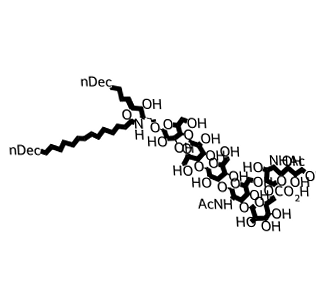 CCCCCCCCCCCCC/C=C/[C@@H](O)[C@H](CO[C@@H]1OC(CO)[C@@H](O[C@@H]2OC(CO)[C@H](O[C@@H]3OC(CO)[C@H](O)[C@H](O[C@@H]4OC(CO)[C@H](O)[C@H](O[C@@H]5OC(CO[C@]6(C(=O)O)CC(O)[C@@H](NC(C)=O)C([C@H](O)[C@H](O)CO)O6)[C@H](O)[C@H](O)C5O)C4NC(C)=O)C3O)[C@H](O)C2O)[C@H](O)C1O)NC(=O)CCCCCCCCCCCCCCCCCCCCCCC